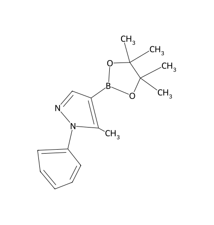 Cc1c(B2OC(C)(C)C(C)(C)O2)cnn1-c1ccccc1